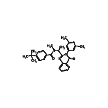 Cc1cc(C)cc(-n2c(C(C)N(C)C(=O)c3ccc(C(C)(C)C)cc3)nc3ccccc3c2=O)c1